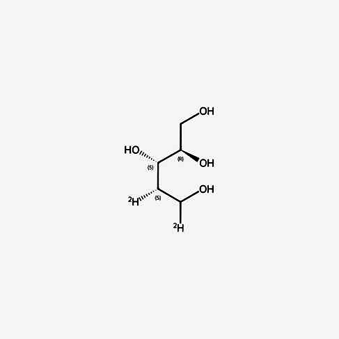 [2H]C(O)[C@H]([2H])[C@H](O)[C@H](O)CO